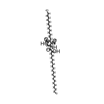 CCCCCCCCCCCCCCCCCCCCC(O)C(=O)NC(CO)C(N=O)C(CCCCCCCCCCCCCC)N=O